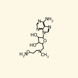 CN(CCON)CC1OC(n2cnc3c(N)ncnc32)C(O)C1O